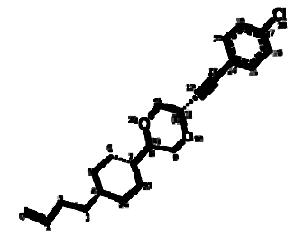 C=CCC[C@H]1CC[C@H]([C@@H]2CO[C@@H](C#Cc3ccc(Cl)cc3)CO2)CC1